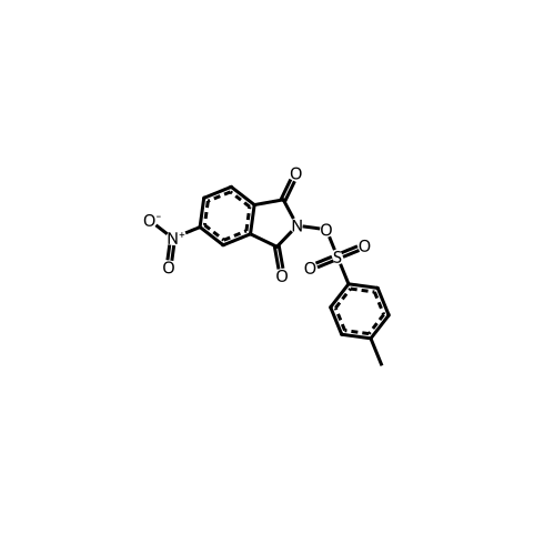 Cc1ccc(S(=O)(=O)ON2C(=O)c3ccc([N+](=O)[O-])cc3C2=O)cc1